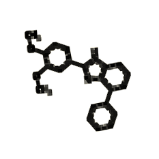 COc1ccc(-c2nc3c(-c4ccccc4)cccc3[nH]2)cc1OC